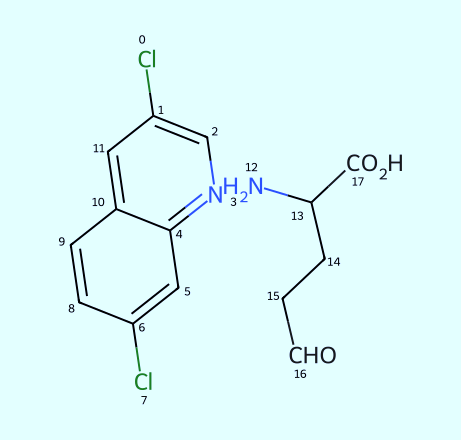 Clc1cnc2cc(Cl)ccc2c1.NC(CCC=O)C(=O)O